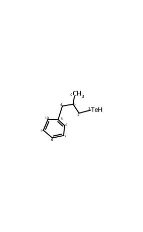 CC(C[TeH])Cc1ccccc1